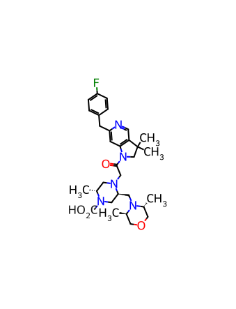 C[C@@H]1CN(CC(=O)N2CC(C)(C)c3cnc(Cc4ccc(F)cc4)cc32)[C@@H](CN2[C@H](C)COC[C@H]2C)CN1C(=O)O